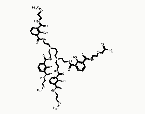 COCCNC(=O)c1cccc(C(=O)NCCN(CCCN(CCNC(=O)c2cccc(C(=O)NCCOC)c2O)CCNC(=O)c2cccc(C(=O)NCCOCC(C)=O)c2O)CCNC(=O)c2cccc(C(=O)NCCOC)c2O)c1O